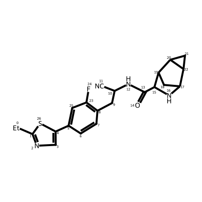 CCc1ncc(-c2ccc(CC(C#N)NC(=O)C3NC4CC3C3CC43)c(F)c2)s1